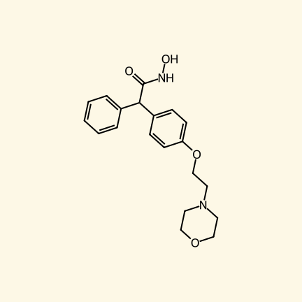 O=C(NO)C(c1ccccc1)c1ccc(OCCN2CCOCC2)cc1